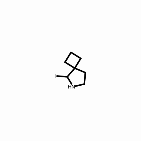 IC1NCCC12CCC2